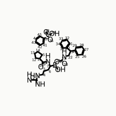 N=C(N)NCCCC(NC(=O)C1CCCC1)B(O)OC(=O)NCC(c1ccccc1)c1ccccc1.O=S(=O)(O)c1ccccc1